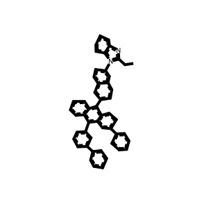 CCc1nc2ccccc2n1-c1ccc2cc(-c3c4ccccc4c(-c4cccc(-c5ccccc5)c4)c4cc(-c5ccccc5)ccc34)ccc2c1